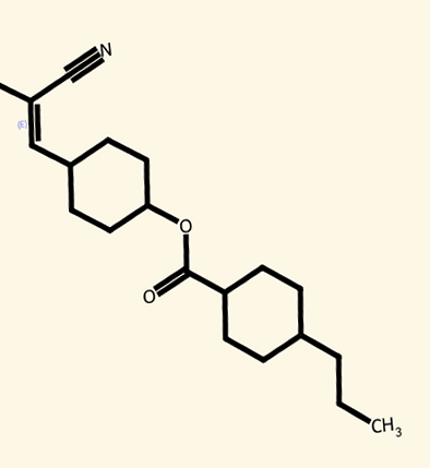 CCCC1CCC(C(=O)OC2CCC(/C=C(/F)C#N)CC2)CC1